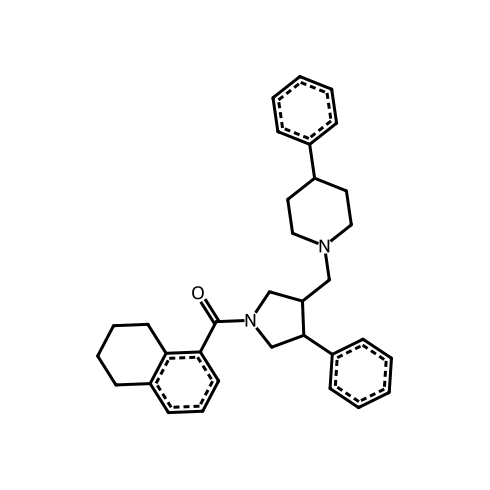 O=C(c1cccc2c1CCCC2)N1CC(CN2CCC(c3ccccc3)CC2)C(c2ccccc2)C1